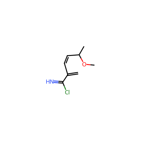 C=C(/C=C\C(C)OC)C(=N)Cl